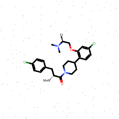 CC[C@@H](COc1cc(Cl)ccc1C1CCN(C(=O)[C@@H](Cc2ccc(Cl)cc2)NC)CC1)N(C)C